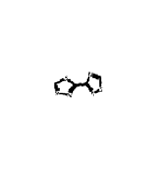 c1nc(-c2nncs2)ns1